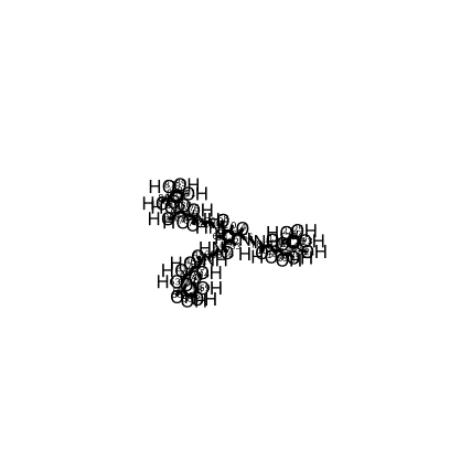 Cc1c(C(=O)NCCNC(=O)[C@H](O)[C@@H](O)[C@H](O[C@@H]2C[C@H](CO)[C@H](O)[C@H](O)[C@H]2O)[C@H](O)CO)c(C)c(C(=O)NCCNC(=O)[C@H](O)[C@@H](O)[C@H](O[C@@H]2O[C@H](CO)[C@H](O)[C@H](O)[C@H]2O)[C@H](O)CO)c(I)c1C(=O)NCCNC(=O)[C@H](O)[C@@H](O)[C@H](O[C@@H]1O[C@H](CO)[C@H](O)[C@H](O)[C@H]1O)[C@H](O)CO